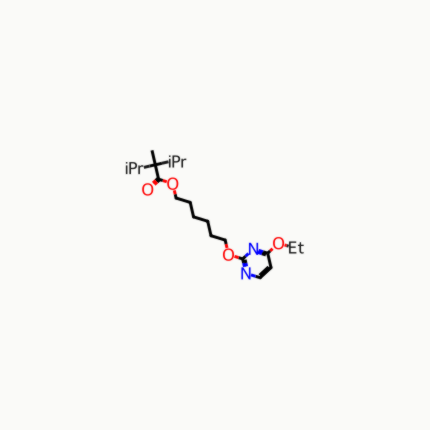 CCOc1ccnc(OCCCCCCOC(=O)C(C)(C(C)C)C(C)C)n1